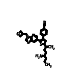 C=C(CCC(N)CCC)C1CC(c2ccc(C#N)cc2)=C(c2cnc3c(c2)ncn3CC2COC2)S1